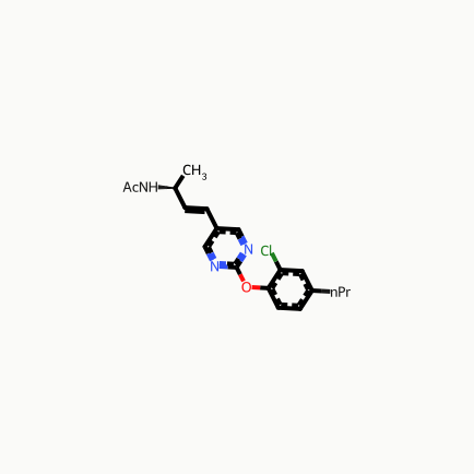 CCCc1ccc(Oc2ncc(/C=C/[C@H](C)NC(C)=O)cn2)c(Cl)c1